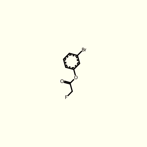 O=C(CF)Oc1cccc(Br)c1